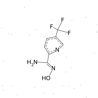 NC(=NO)c1ccc(C(F)(F)F)cn1